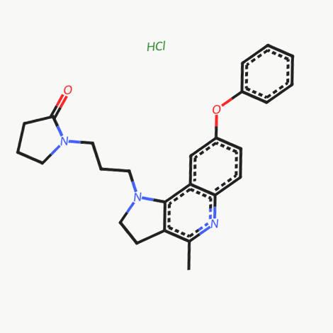 Cc1nc2ccc(Oc3ccccc3)cc2c2c1CCN2CCCN1CCCC1=O.Cl